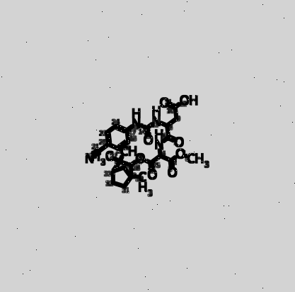 COC(=O)C(NC(=O)C(CC(=O)O)NC(=O)Nc1ccc(C#N)cc1)C(=O)OC1C2(C)CCC(C2)C1(C)C